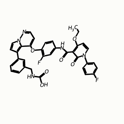 CCOc1ccn(-c2ccc(F)cc2)c(=O)c1C(=O)Nc1ccc(Oc2ccnn3ccc(-c4cccc(CNC(=O)O)c4)c23)c(F)c1